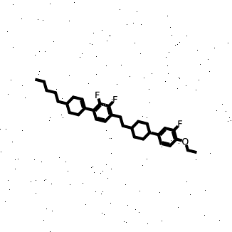 CCCCCC1CC=C(c2ccc(CCC3CCC(c4ccc(OCC)c(F)c4)CC3)c(F)c2F)CC1